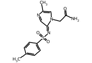 Cc1ccc(S(=O)(=O)/N=c2\cnc(C)cn2CC(N)=O)cc1